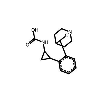 O=C(O)NC1CC1c1ccccc1C1CN2CCC1CC2